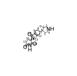 CC1CNCCC1c1ccc2c(c1)CN(C1CCC(=O)NC1=O)C2=O